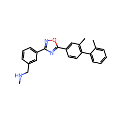 CNCc1cccc(-c2noc(-c3ccc(-c4ccccc4C)c(C)c3)n2)c1